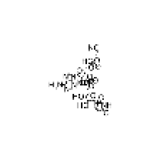 N#CCCOP(=O)(O)OC[C@H]1O[C@@H](n2cnc3c(N)ncnc32)C(C(F)(F)F)C1OP(=O)(O)OC[C@H]1O[C@@H](n2ccc(=O)[nH]c2=O)C(O)C1O